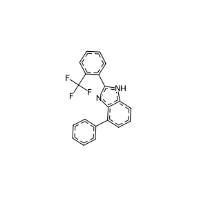 FC(F)(F)c1ccccc1-c1nc2c(-c3ccccc3)cccc2[nH]1